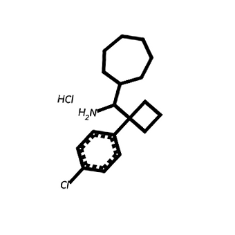 Cl.NC(C1CCCCCC1)C1(c2ccc(Cl)cc2)CCC1